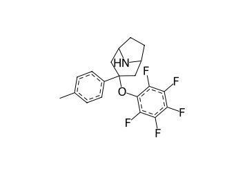 Cc1ccc(C2(Oc3c(F)c(F)c(F)c(F)c3F)CC3CCC(C2)N3)cc1